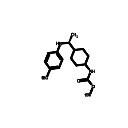 C[C@H](Nc1ccc(C(C)(C)C)cc1)C1CCC(NC(=O)OC(C)(C)C)CC1